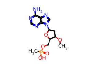 CO[C@@H]1C[C@H](n2cnc3c(N)ncnc32)O[C@@H]1COP(C)(=O)O